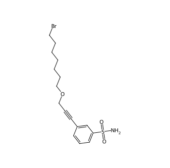 NS(=O)(=O)c1cccc(C#CCOCCCCCCCBr)c1